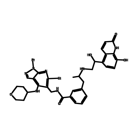 CCc1nc2c(cnn2CC)c(NC2CCOCC2)c1CNC(=O)c1cccc(CC(C)NCC(O)c2ccc(O)c3[nH]c(=O)ccc23)c1